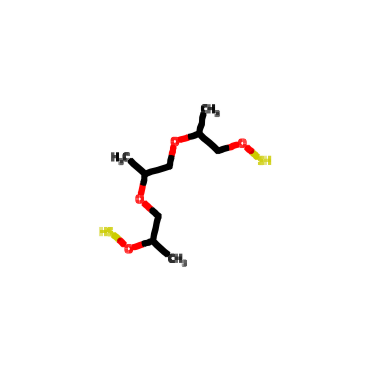 CC(COC(C)COC(C)COS)OS